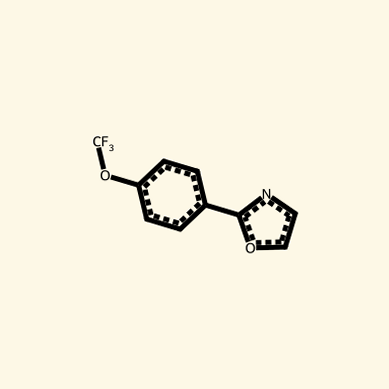 FC(F)(F)Oc1ccc(-c2ncco2)cc1